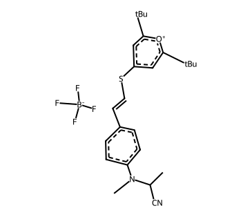 CC(C#N)N(C)c1ccc(/C=C/Sc2cc(C(C)(C)C)[o+]c(C(C)(C)C)c2)cc1.F[B-](F)(F)F